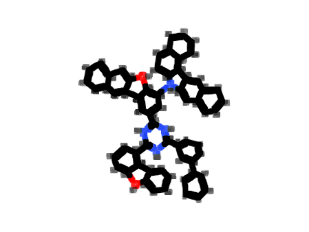 c1ccc(-c2cccc(-c3nc(-c4cc(-n5c6cc7ccccc7cc6c6c7ccccc7ccc65)c5oc6cc7ccccc7cc6c5c4)nc(-c4cccc5oc6ccccc6c45)n3)c2)cc1